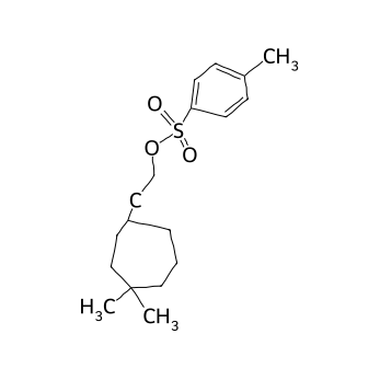 Cc1ccc(S(=O)(=O)OCCC2CCCC(C)(C)CC2)cc1